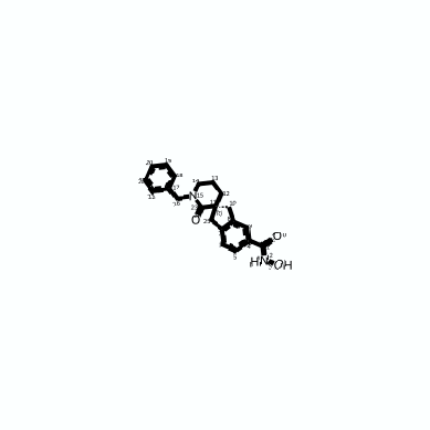 O=C(NO)c1ccc2c(c1)C[C@]1(CCCN(Cc3ccccc3)C1=O)C2